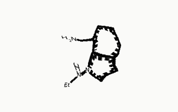 CCNn1ccc2cccc(N)c21